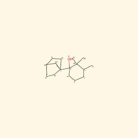 CC1CCCC(O)(C23CCC(CC2)C3)C1(C)C